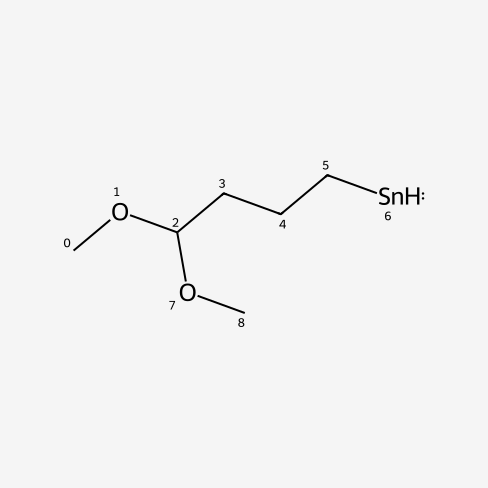 COC(CC[CH2][SnH])OC